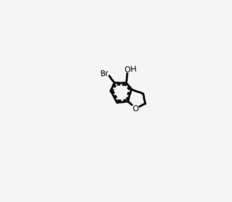 Oc1c(Br)ccc2c1CCO2